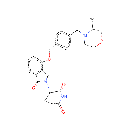 [2H]C1COCCN1Cc1ccc(COc2cccc3c2CN(C2CCC(=O)NC2=O)C3=O)cc1